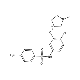 CN1CC[C@@H](Oc2cc(NS(=O)(=O)c3ccc(C(F)(F)F)cc3)ccc2Cl)C1